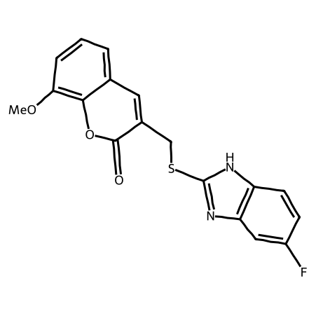 COc1cccc2cc(CSc3nc4cc(F)ccc4[nH]3)c(=O)oc12